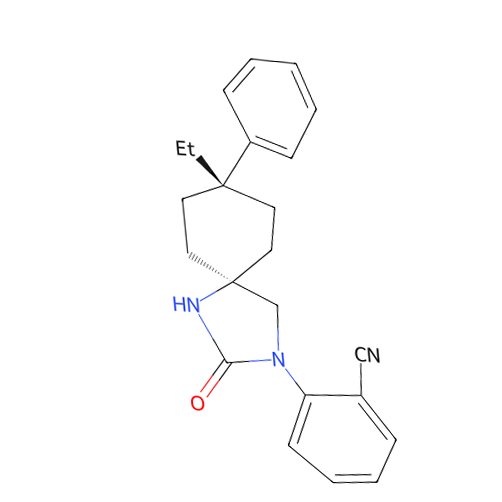 CC[C@]1(c2ccccc2)CC[C@]2(CC1)CN(c1ccccc1C#N)C(=O)N2